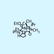 CCOC(=O)/C(C)=C/[C@H](C(C)C)N(C)C(=O)[C@@H](NC(=O)C(CC)(CC)NC(C)C)C1CCCC1